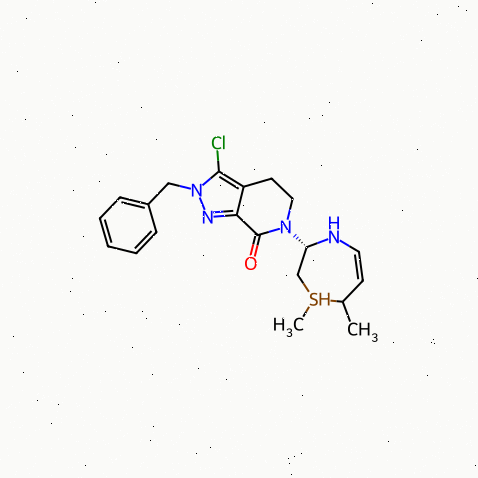 CC1C=CN[C@@H](N2CCc3c(nn(Cc4ccccc4)c3Cl)C2=O)C[SH]1C